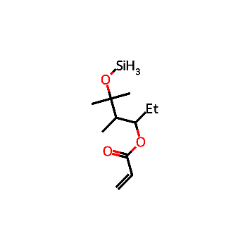 C=CC(=O)OC(CC)C(C)C(C)(C)O[SiH3]